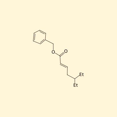 CCC(CC)C/C=C/C(=O)OCc1ccccc1